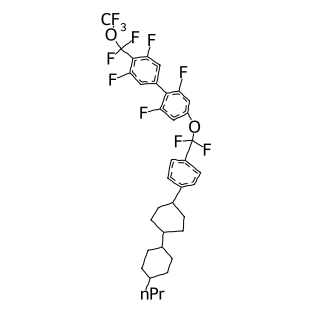 CCCC1CCC(C2CCC(c3ccc(C(F)(F)Oc4cc(F)c(-c5cc(F)c(C(F)(F)OC(F)(F)F)c(F)c5)c(F)c4)cc3)CC2)CC1